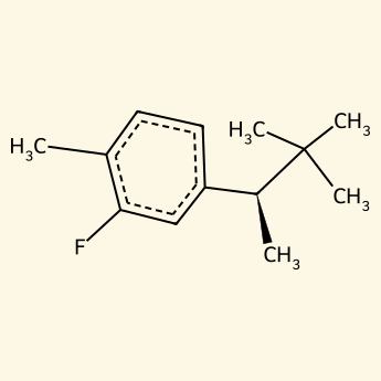 Cc1ccc([C@H](C)C(C)(C)C)cc1F